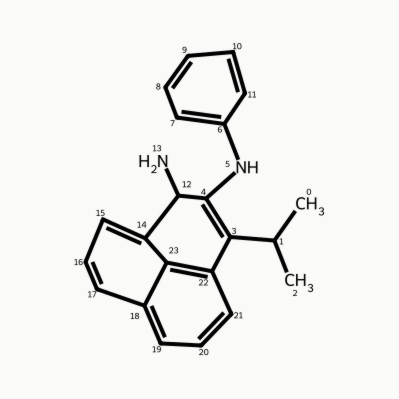 CC(C)C1=C(Nc2ccccc2)C(N)c2cccc3cccc1c23